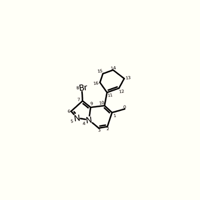 Cc1ccn2ncc(Br)c2c1C1=CCCCC1